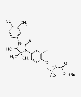 Cc1cc(N2C(=S)N(c3ccc(OCC4(NC(=O)OC(C)(C)C)CC4)c(F)c3)C(C)(C)C2O)ccc1C#N